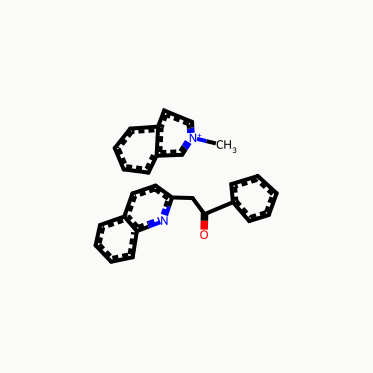 C[n+]1ccc2ccccc2c1.O=C(Cc1ccc2ccccc2n1)c1ccccc1